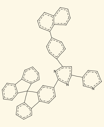 c1cncc(-c2cc(-c3ccc(-c4cccc5ccccc45)cc3)nc(-c3ccc4c(c3)C3(c5ccccc5-c5ccccc53)c3ccccc3-4)n2)c1